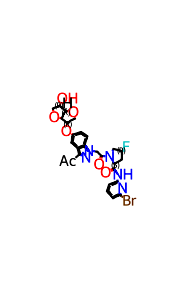 CC(=O)c1nn(CC(=O)N2C[C@H](F)C[C@H]2C(=O)Nc2cccc(Br)n2)c2ccc(O[C@@H]3CO[C@H]4C3OC[C@H]4O)cc12